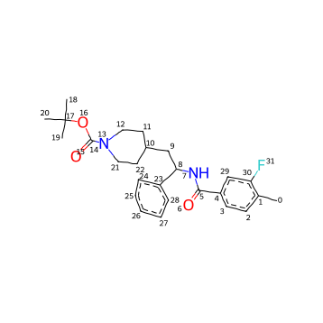 Cc1ccc(C(=O)NC(CC2CCN(C(=O)OC(C)(C)C)CC2)c2ccccc2)cc1F